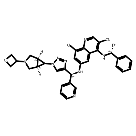 CC[C@@H](Nc1c(C#N)cnc2c(Cl)cc(N[C@@H](c3cccnc3)c3cn(C4[C@H]5CN(C6COC6)C[C@@H]45)nn3)cc12)c1ccccc1